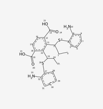 CCC(Sc1ccccc1N)c1c(C(=O)O)ccc(C(=O)O)c1C(CC)Sc1ccccc1N